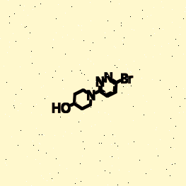 OC1CCN(c2ccc(Br)nn2)CC1